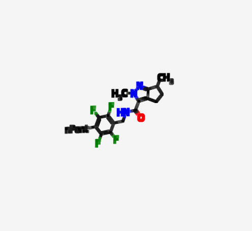 CCCCCc1c(F)c(F)c(CNC(=O)c2c3c(nn2C)C(C)CC3)c(F)c1F